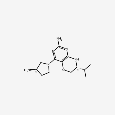 CC(C)[C@@H]1COc2c(nc(N)nc2N2CC[C@@H](N)C2)N1